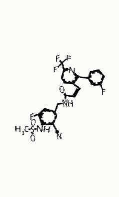 CS(=O)(=O)Nc1c(F)cc(CNC(=O)/C=C\c2ccc(C(F)(F)F)nc2-c2cccc(F)c2)cc1C#N